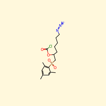 Cc1cc(C)c(S(=O)(=O)CC(CCCCCN=[N+]=[N-])OC(=O)Cl)c(C)c1